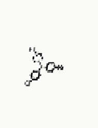 CCN1CCN(C(c2ccc(Cl)cc2)c2ccc(Br)cc2)CC1